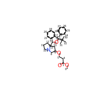 COC(=O)CCO[C@H]1CN2CCC[C@]2(CO[Si](c2ccccc2)(c2ccccc2)C(C)(C)C)C1